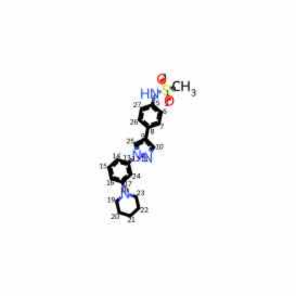 CS(=O)(=O)Nc1ccc(-c2cnn(-c3cccc(N4CCCCC4)c3)c2)cc1